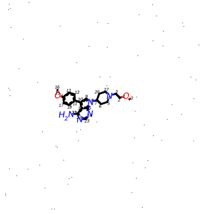 COCCN1CCC(n2cc(-c3ccc(OC)cc3)c3c(N)ncnc32)CC1